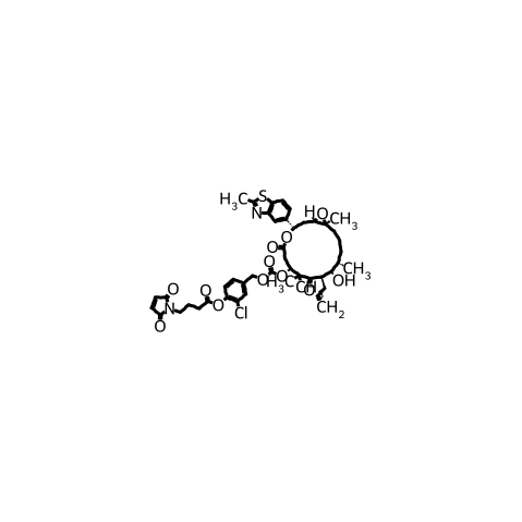 C=CC[C@H]1C(=O)C(C)(C)[C@@H](OC(=O)OCc2ccc(OC(=O)CCCN3C(=O)C=CC3=O)c(Cl)c2)CC(=O)O[C@H](c2ccc3sc(C)nc3c2)C[C@@H]2O[C@]2(C)CCC[C@H](C)[C@@H]1O